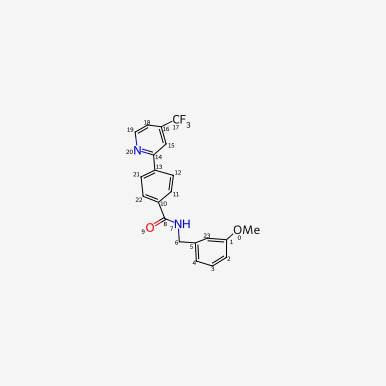 COc1cccc(CNC(=O)c2ccc(-c3cc(C(F)(F)F)ccn3)cc2)c1